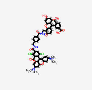 CN(C)c1ccc2c(-c3c(Cl)cc(C(=O)NCc4ccc(C(=O)NCc5c6oc7cc(O)ccc7c(-c7cc(C(=O)O)ccc7C(=O)O)c-6ccc5=O)cc4)c(Cl)c3C(=O)O)c3ccc(=[N+](C)C)cc-3oc2c1